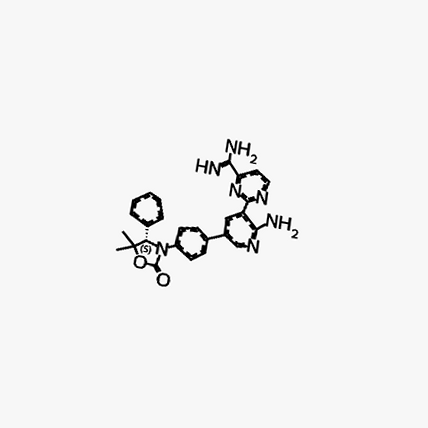 CC1(C)OC(=O)N(c2ccc(-c3cnc(N)c(-c4nccc(C(=N)N)n4)c3)cc2)[C@H]1c1ccccc1